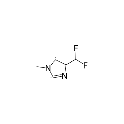 CN1[C]=NC(C(F)F)[CH]1